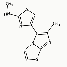 CNc1nc(-c2c(C)nc3sccn23)cs1